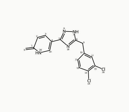 C=C1C=CC(c2n[nH]c(Cc3ccc(Cl)c(Cl)c3)n2)=CN1